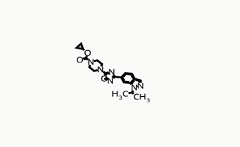 CC(C)n1ncc2ccc(-c3noc(N4CCN(C(=O)OC5CC5)CC4)n3)cc21